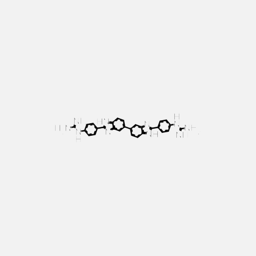 N=C(N)Nc1ccc(-c2nc3cc(-c4ccc5[nH]c(-c6ccc(NC(=N)N)cc6)nc5c4)ccc3[nH]2)cc1